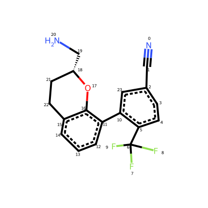 N#Cc1ccc(C(F)(F)F)c(-c2cccc3c2O[C@@H](CN)CC3)c1